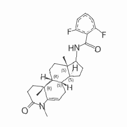 CN1C(=O)CC[C@@]2(C)C1=CC[C@@H]1[C@H]2CC[C@]2(C)C(NC(=O)c3c(F)cccc3F)CC[C@@H]12